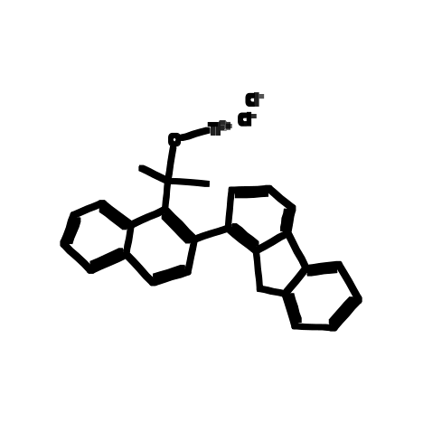 CC(C)([O][Ti+2])c1c(-c2cccc3c2Cc2ccccc2-3)ccc2ccccc12.[Cl-].[Cl-]